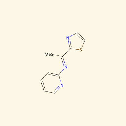 CS/C(=N\c1ccccn1)c1nccs1